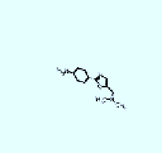 CN(C)Cc1cnc([C@H]2CC[C@H](N)CC2)o1